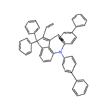 C=CC1=C(C=C)C(c2ccccc2)(c2ccccc2)c2cccc(N(c3ccc(-c4ccccc4)cc3)c3ccc(-c4ccccc4)cc3)c21